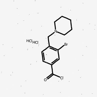 Cl.Cl.O=C(Cl)c1ccc(CN2CCCCC2)c(Br)c1